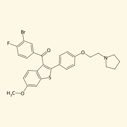 COc1ccc2c(C(=O)c3ccc(F)c(Br)c3)c(-c3ccc(OCCN4CCCC4)cc3)sc2c1